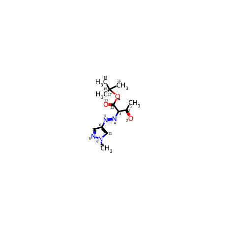 CC(=O)C(/N=N/c1cnn(C)c1)C(=O)OC(C)(C)C